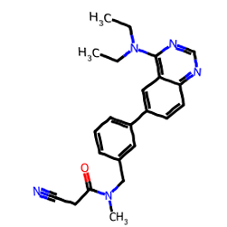 CCN(CC)c1ncnc2ccc(-c3cccc(CN(C)C(=O)CC#N)c3)cc12